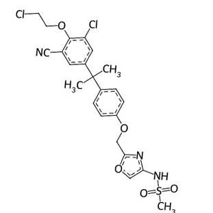 CC(C)(c1ccc(OCc2nc(NS(C)(=O)=O)co2)cc1)c1cc(Cl)c(OCCCl)c(C#N)c1